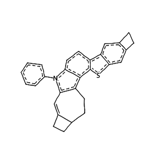 C1=C2CCC2CCc2c1n(-c1ccccc1)c1ccc3c4cc5c(cc4sc3c21)CC5